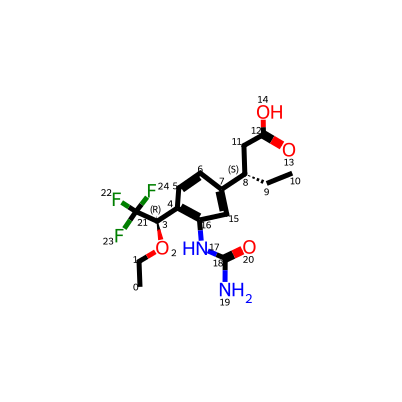 CCO[C@H](c1ccc([C@@H](CC)CC(=O)O)cc1NC(N)=O)C(F)(F)F